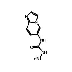 CCCCNC(=O)Nc1ccc2nccn2c1